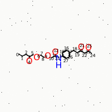 CCCC(=O)COCCOCC(=O)Nc1ccc(CCC(=O)CC(C)=O)cc1